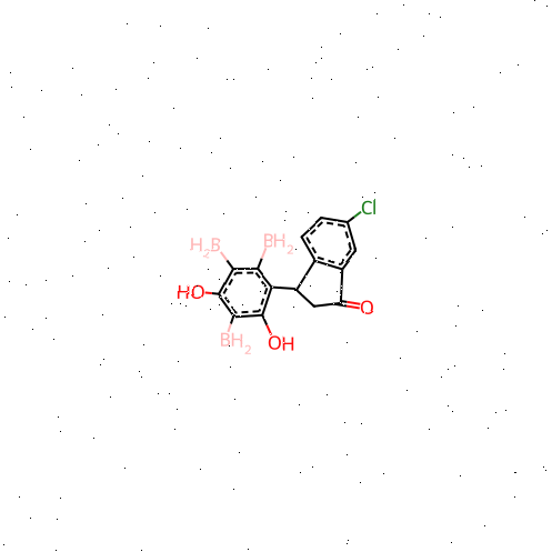 Bc1c(B)c(C2CC(=O)c3cc(Cl)ccc32)c(O)c(B)c1O